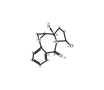 CCC1CC[C@H]2C3CN3c3ccccc3C(=O)N12